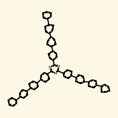 c1ccc(-c2ccc(-c3ccc(-c4ccc(-c5nc(-c6ccc(-c7ccc(-c8ccc(-c9ccccc9)cc8)cc7)cc6)nc(-c6ccc(-c7ccc(-c8ccc(-c9ccccc9)cc8)cc7)cc6)n5)cc4)cc3)cc2)cc1